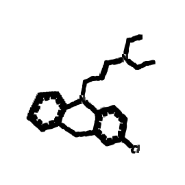 CCN(CC)CCCN1c2ccccc2Cc2cc(Cl)ccc21